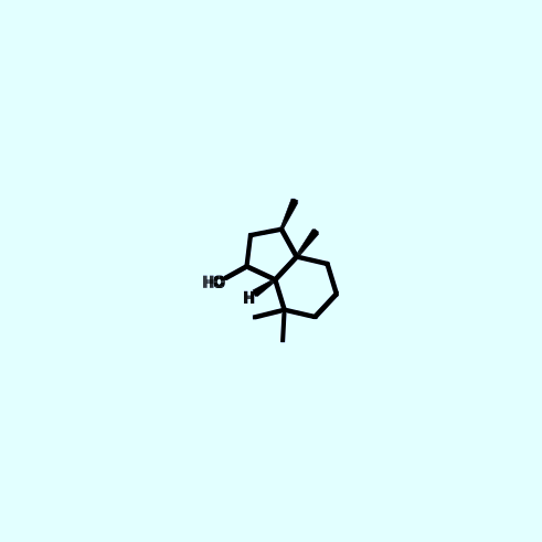 C[C@@H]1CC(O)[C@H]2C(C)(C)CCC[C@@]12C